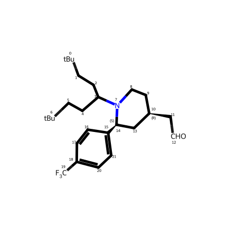 CC(C)(C)CCC(CCC(C)(C)C)N1CC[C@@H](CC=O)C[C@H]1c1ccc(C(F)(F)F)cc1